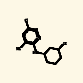 CCN1CCC[C@@H](Nc2nnc(Cl)cc2C#N)C1